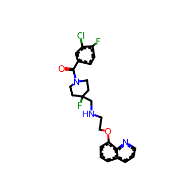 O=C(c1ccc(F)c(Cl)c1)N1CCC(F)(CNCCOc2cccc3cccnc23)CC1